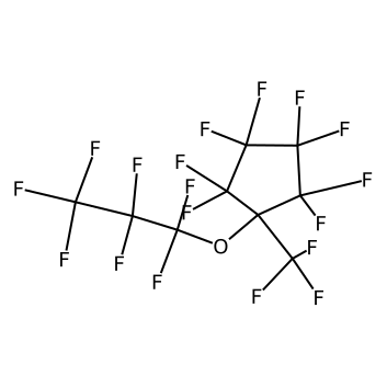 FC(F)(F)C(F)(F)C(F)(F)OC1(C(F)(F)F)C(F)(F)C(F)(F)C(F)(F)C1(F)F